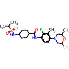 Cc1c(N2CC(C)OC(C)C2)ccc(NC(=O)C2CCC(NS(=O)(=O)C(C)C)CC2)c1F